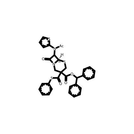 CC(=O)N(c1cccs1)C1C(=O)N2CC(C(=O)OC(c3ccccc3)c3ccccc3)(C(=O)Sc3ccccc3)CS[C@H]12